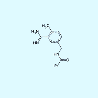 Cc1ccc(CNC(=O)C(C)C)cc1C(=N)N